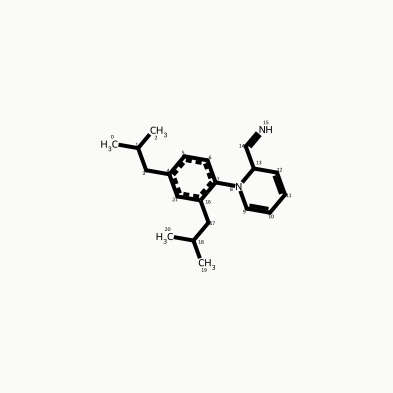 CC(C)Cc1ccc(N2C=CC=CC2C=N)c(CC(C)C)c1